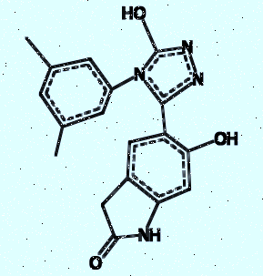 Cc1cc(C)cc(-n2c(O)nnc2-c2cc3c(cc2O)NC(=O)C3)c1